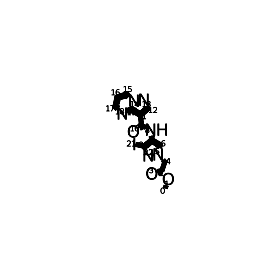 COC(=O)Cn1cc(NC(=O)c2cnn3cccnc23)c(I)n1